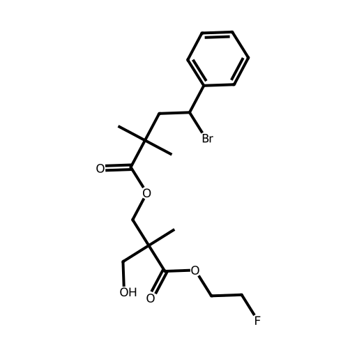 CC(C)(CC(Br)c1ccccc1)C(=O)OCC(C)(CO)C(=O)OCCF